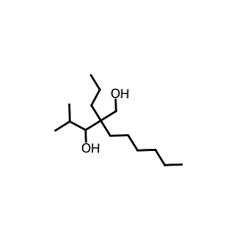 CCCCCCC(CO)(CCC)C(O)C(C)C